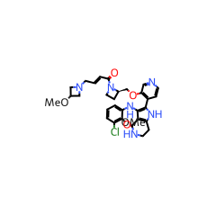 COc1c(Cl)cccc1Nc1c(-c2ccncc2OC[C@H]2CCN2C(=O)/C=C/CN2CC(OC)C2)[nH]c2c1C(=O)NCC2